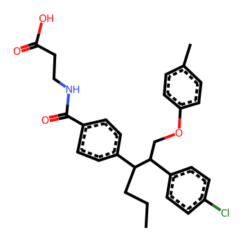 CCCC(c1ccc(C(=O)NCCC(=O)O)cc1)C(COc1ccc(C)cc1)c1ccc(Cl)cc1